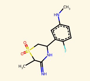 CNc1ccc(F)c(C2CS(=O)(=O)C(C)C(=N)N2)c1